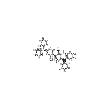 Cc1cc(N(c2ccccc2)c2ccccn2)ccc1-c1ccc(N(c2ccccc2)c2ccccn2)cc1C